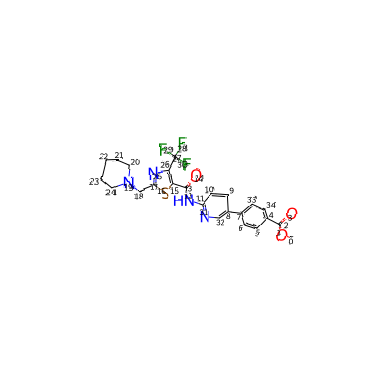 COC(=O)c1ccc(-c2ccc(NC(=O)c3sc(CN4CCCCC4)nc3C(F)(F)F)nc2)cc1